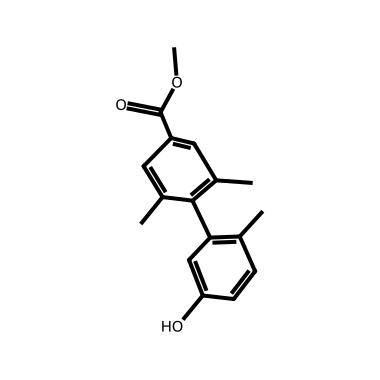 COC(=O)c1cc(C)c(-c2cc(O)ccc2C)c(C)c1